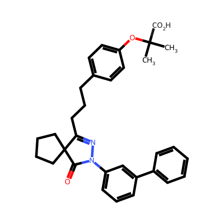 CC(C)(Oc1ccc(CCCC2=NN(c3cccc(-c4ccccc4)c3)C(=O)C23CCCC3)cc1)C(=O)O